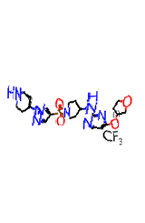 O=S(=O)(c1cnn(C2CCNCC2)c1)N1CCC(Nc2ncc(C(F)(F)F)c(O[C@H]3CCOC3)n2)CC1